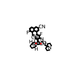 C#Cc1c(F)ccc2cc(C#N)cc(-c3ncc4c(N5C[C@H]6CC[C@@H](C5)N6C(=O)C=C)nc(OCC56CCCN5CCC6)nc4c3F)c12